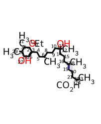 CCOC1C(CCC(C)CCCC(C)(O)CCC/C(C)=C/CCC(C)C(=O)O)=CC(O)C(C)C1C